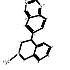 CN1Cc2ccccc2C(c2ccc3ncncc3c2)C1